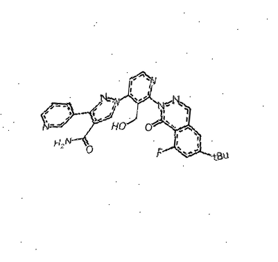 CC(C)(C)c1cc(F)c2c(=O)n(-c3nccc(-n4cc(C(N)=O)c(-c5cccnc5)n4)c3CO)ncc2c1